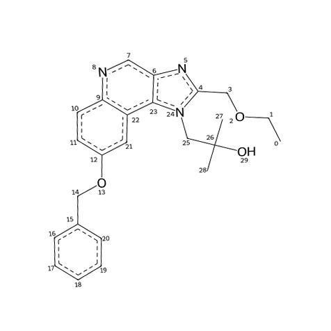 CCOCc1nc2cnc3ccc(OCc4ccccc4)cc3c2n1CC(C)(C)O